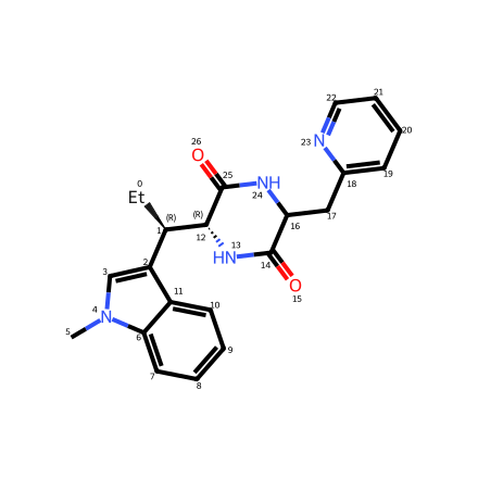 CC[C@H](c1cn(C)c2ccccc12)[C@H]1NC(=O)C(Cc2ccccn2)NC1=O